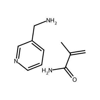 C=C(C)C(N)=O.NCc1cccnc1